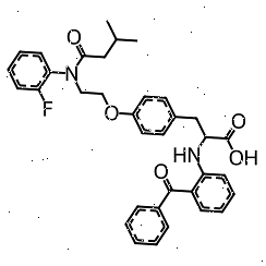 CC(C)CC(=O)N(CCOc1ccc(CC(Nc2ccccc2C(=O)c2ccccc2)C(=O)O)cc1)c1ccccc1F